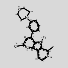 CCn1c2c(-c3cccc(N4CCOCC4)c3)cc(Cl)cc2c2ccnc(C)c21